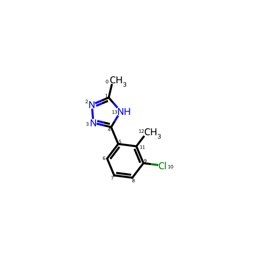 Cc1nnc(-c2cccc(Cl)c2C)[nH]1